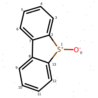 [O-][s+]1c2ccccc2c2ccccc21